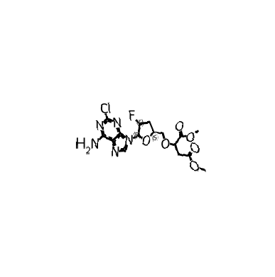 COC(=O)CC(OC[C@@H]1C[C@H](F)[C@H](n2cnc3c(N)nc(Cl)nc32)O1)C(=O)OC